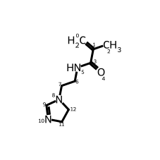 C=C(C)C(=O)NCCN1C=NCC1